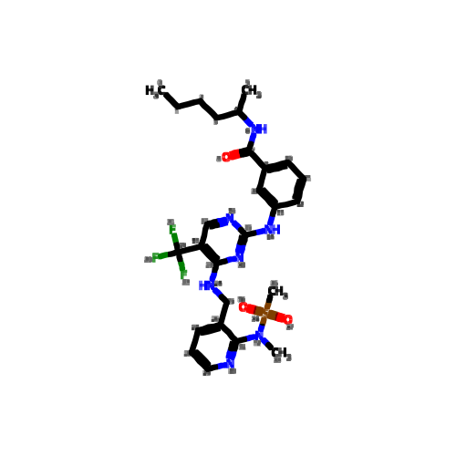 CCCCC(C)NC(=O)c1cccc(Nc2ncc(C(F)(F)F)c(NCc3cccnc3N(C)S(C)(=O)=O)n2)c1